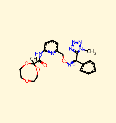 Cn1nnnc1/C(=N\OCc1cccc(NC(=O)C2(C)OCCOCCO2)n1)c1ccccc1